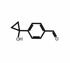 O=Cc1ccc(C2(O)CC2)cc1